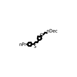 CCCCCCCCCCCCCOc1ccc(C=CC(=S)c2ccc(CCC)cc2)cc1